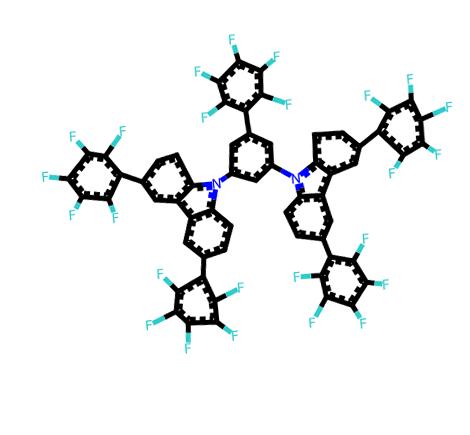 Fc1c(F)c(F)c(-c2cc(-n3c4ccc(-c5c(F)c(F)c(F)c(F)c5F)cc4c4cc(-c5c(F)c(F)c(F)c(F)c5F)ccc43)cc(-n3c4ccc(-c5c(F)c(F)c(F)c(F)c5F)cc4c4cc(-c5c(F)c(F)c(F)c(F)c5F)ccc43)c2)c(F)c1F